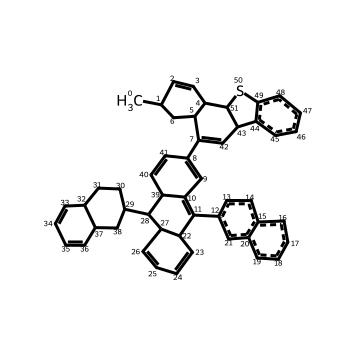 CC1C=CC2C(C1)C(C1=CC3=C(c4ccc5ccccc5c4)C4C=CC=CC4C(C4CCC5C=CC=CC5C4)C3C=C1)=CC1c3ccccc3SC12